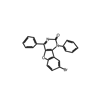 O=c1nc(-c2ccccc2)c2oc3ccc(Br)cc3c2n1-c1ccccc1